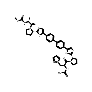 COC(=O)N[C@@H](C)C(=O)N1CCC[C@H]1c1ncc(-c2ccc(-c3ccc(-c4cnc([C@@H]5CCCN5C(=O)[C@H](Cn5cccn5)NC(=O)O)[nH]4)cc3)cc2)[nH]1